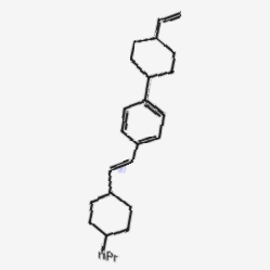 C=CC1CCC(c2ccc(/C=C/C3CCC(CCC)CC3)cc2)CC1